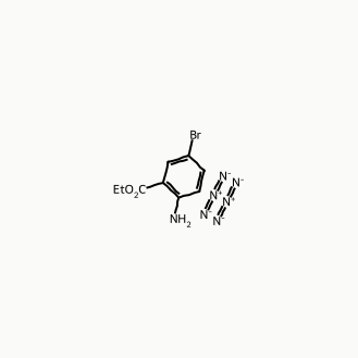 CCOC(=O)c1cc(Br)ccc1N.[N-]=[N+]=[N-].[N-]=[N+]=[N-]